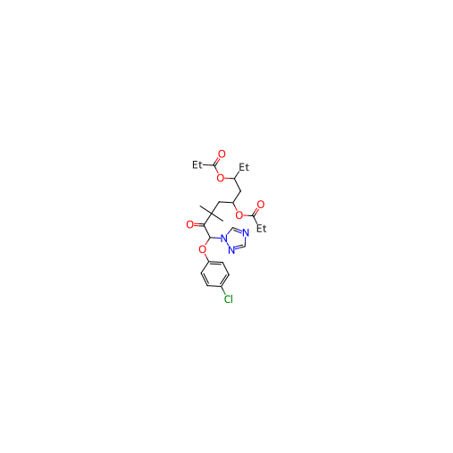 CCC(=O)OC(CC)CC(CC(C)(C)C(=O)C(Oc1ccc(Cl)cc1)n1cncn1)OC(=O)CC